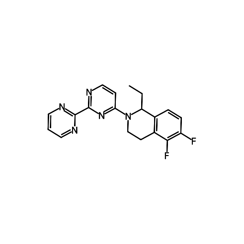 CCC1c2ccc(F)c(F)c2CCN1c1ccnc(-c2ncccn2)n1